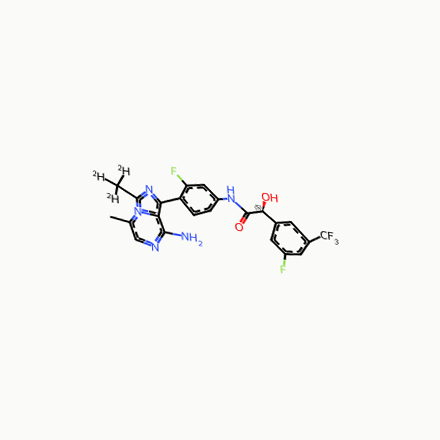 [2H]C([2H])([2H])c1nc(-c2ccc(NC(=O)[C@@H](O)c3cc(F)cc(C(F)(F)F)c3)cc2F)c2c(N)ncc(C)n12